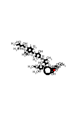 CCNC1COC(OC2C(O[C@H]3C#C/C=C\C#C[C@]4(O)CC(=O)C(NC(=O)OC)=C3/C4=C\CSSSC)OC(C)C(NOC3CC(O)C(SC(=O)c4c(C)c(I)c(OC(O)C(O)C(OC)C(O)CC)c(OC)c4OC)C(C)O3)C2O)CC1OC